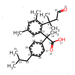 Cc1cc(C)c(C(C)(C)CC=O)c(C(C)(C(=O)O)c2ccc(CC(C)C)cc2)c1